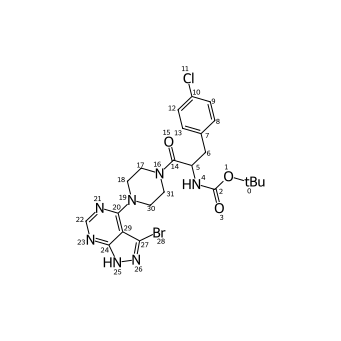 CC(C)(C)OC(=O)NC(Cc1ccc(Cl)cc1)C(=O)N1CCN(c2ncnc3[nH]nc(Br)c23)CC1